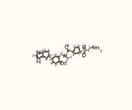 NCCS(=O)(=O)c1ccc(C(=O)N2CCOc3ccc(-c4ccc5nc[nH]c5c4)cc3C2)cc1